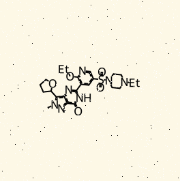 CCOc1ncc(S(=O)(=O)N2CCN(CC)CC2)cc1-c1nc2c(C3CCCO3)n(C)nc2c(=O)[nH]1